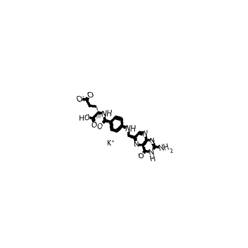 Nc1nc2ncc(CNc3ccc(C(=O)N[C@@H](CCC(=O)[O-])C(=O)O)cc3)nc2c(=O)[nH]1.[K+]